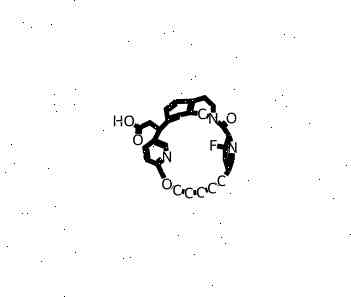 O=C(O)CC1c2ccc(nc2)OCCCCCc2cnc(c(F)c2)C(=O)N2CCc3ccc1cc3C2